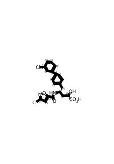 O=C(N[C@H](Cc1ccc(-c2cccc(Cl)c2)cc1)C[C@@H](O)C(=O)O)c1cc(Cl)no1